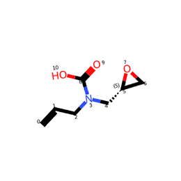 C=CCN(C[C@H]1CO1)C(=O)O